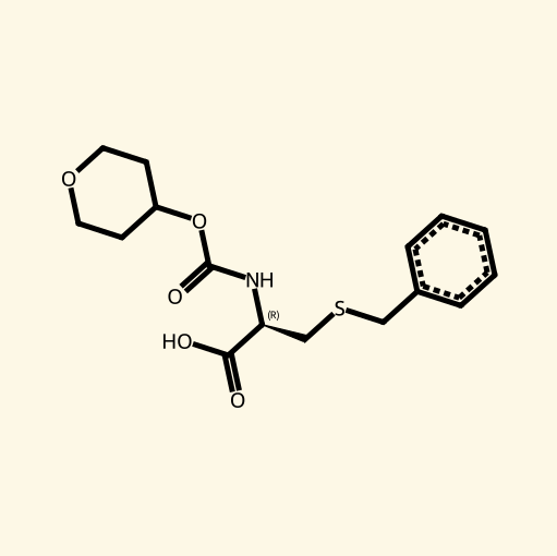 O=C(N[C@@H](CSCc1ccccc1)C(=O)O)OC1CCOCC1